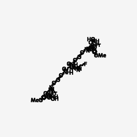 COc1ccc(S(=O)(=O)N(Cc2cn(CCOCCOCCOCCNC(=O)CCC(NC(=O)Cn3cc(CCCF)nn3)C(=O)NCCOCCOCCOCCn3cc(CN([C@@H](C(=O)NO)C(C)C)S(=O)(=O)c4ccc(OC)cc4)nn3)nn2)[C@@H](C(=O)NO)C(C)C)cc1